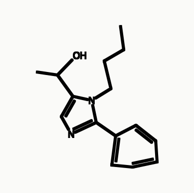 CCCCn1c(C(C)O)cnc1-c1ccccc1